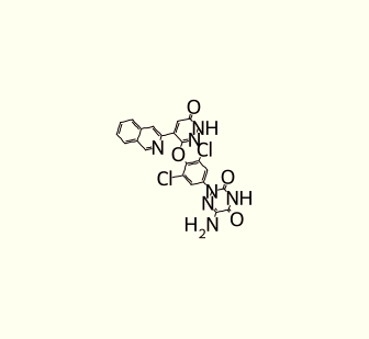 Nc1nn(-c2cc(Cl)c(Oc3n[nH]c(=O)cc3-c3cc4ccccc4cn3)c(Cl)c2)c(=O)[nH]c1=O